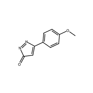 COc1ccc(C2=CC(=O)N=N2)cc1